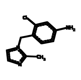 Cc1nccn1Cc1ccc(N)cc1Cl